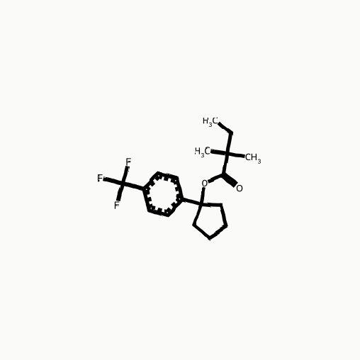 CCC(C)(C)C(=O)OC1(c2ccc(C(F)(F)F)cc2)CCCC1